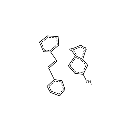 C(=Cc1ccccc1)c1ccccc1.Cc1ccc2ocnc2c1